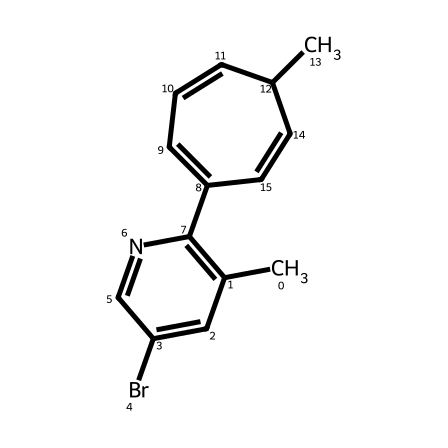 Cc1cc(Br)cnc1C1=CC=CC(C)C=C1